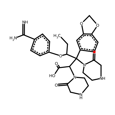 CCC(Oc1ccc(C(=N)N)cc1)C(c1ccc2c(c1)OCO2)(C(C(=O)O)N1CCNCC1=O)N1CCNCC1=O